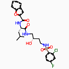 CC(C)C[C@H](NC(=O)c1cc2ccccc2o1)C(=O)NC[C@@H](O)CCNS(=O)(=O)c1ccc(F)cc1Cl